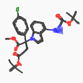 COC(=O)C(CC(=O)OC(C)(C)C)(c1ccc(Cl)cc1)n1ccc2c(NC(=O)OC(C)(C)C)cccc21